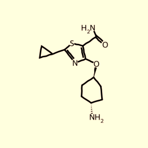 NC(=O)c1sc(C2CC2)nc1O[C@H]1CC[C@H](N)CC1